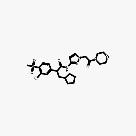 CS(=O)(=O)c1ccc(C(CC2CCCC2)C(=O)Nc2ccn(CC(=O)N3CCOCC3)n2)cc1Cl